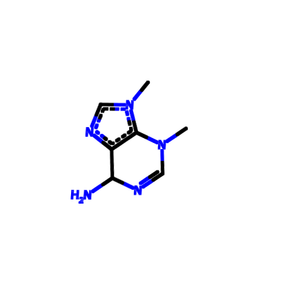 CN1C=NC(N)c2ncn(C)c21